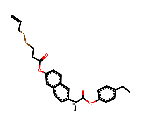 C=CCSSCCC(=O)Oc1ccc2cc([C@H](C)C(=O)Oc3ccc(CC)cc3)ccc2c1